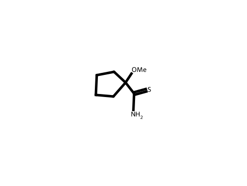 COC1(C(N)=S)CCCC1